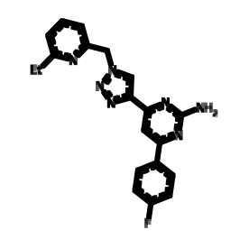 CCc1cccc(Cn2cc(-c3cc(-c4ccc(F)cc4)nc(N)n3)nn2)n1